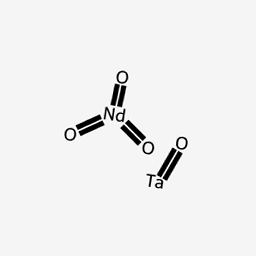 [O]=[Nd](=[O])=[O].[O]=[Ta]